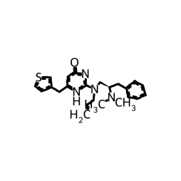 C=CCN(C[C@@H](Cc1ccccc1)N(C)C)c1nc(=O)cc(Cc2ccsc2)[nH]1